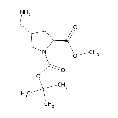 COC(=O)[C@@H]1C[C@@H](CN)CN1C(=O)OC(C)(C)C